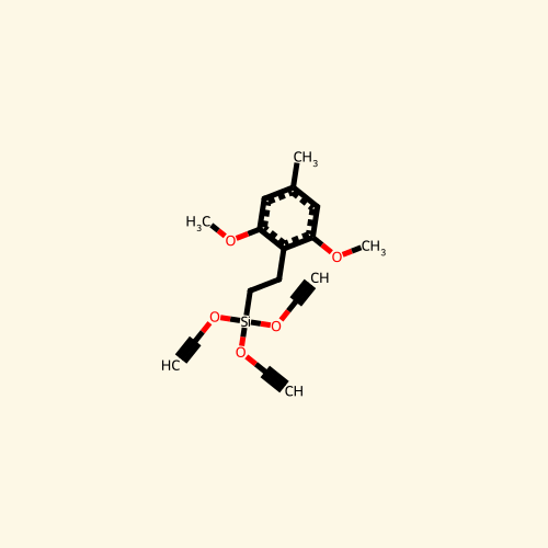 C#CO[Si](CCc1c(OC)cc(C)cc1OC)(OC#C)OC#C